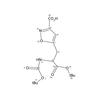 CC(C)(C)OC(=O)NC(Cc1cc(C(=O)O)no1)C(=O)OC(C)(C)C